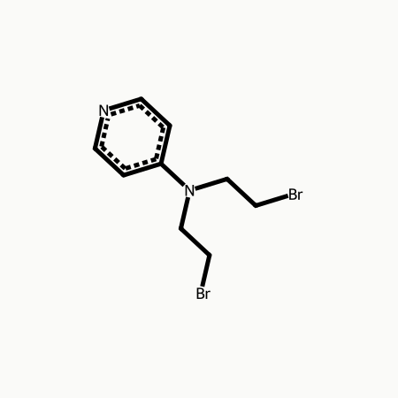 BrCCN(CCBr)c1ccncc1